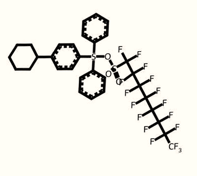 O=S(=O)(OS(c1ccccc1)(c1ccccc1)c1ccc(C2CCCCC2)cc1)C(F)(F)C(F)(F)C(F)(F)C(F)(F)C(F)(F)C(F)(F)C(F)(F)C(F)(F)F